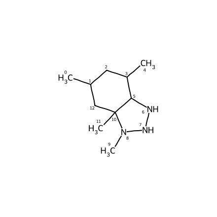 CC1CC(C)C2NNN(C)C2(C)C1